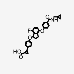 O=C(NCC1CC1)c1ccc(Oc2ccc(F)c3c2CCC3Oc2ccc(C3CC3C(=O)O)cc2)cc1